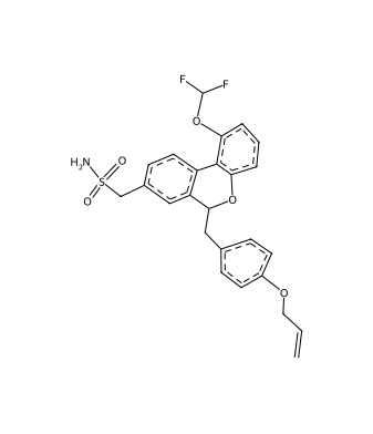 C=CCOc1ccc(CC2Oc3cccc(OC(F)F)c3-c3ccc(CS(N)(=O)=O)cc32)cc1